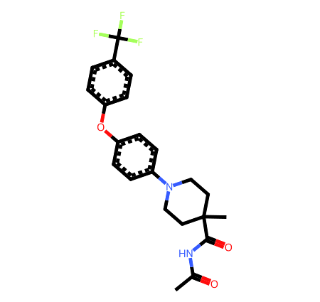 CC(=O)NC(=O)C1(C)CCN(c2ccc(Oc3ccc(C(F)(F)F)cc3)cc2)CC1